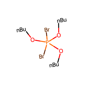 CCCCOP(Br)(Br)(OCCCC)OCCCC